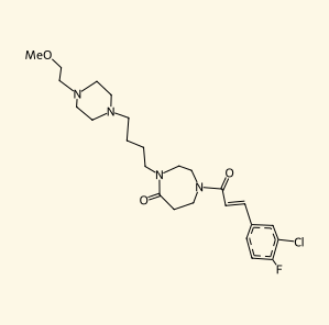 COCCN1CCN(CCCCN2CCN(C(=O)C=Cc3ccc(F)c(Cl)c3)CCC2=O)CC1